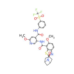 COc1cc(C(=O)Nc2cccc(S(=O)(=O)C(F)(F)F)c2)c(NC(=O)c2c(OC)ccc3nc(N4C5CC(=O)CC4C5)sc23)cn1